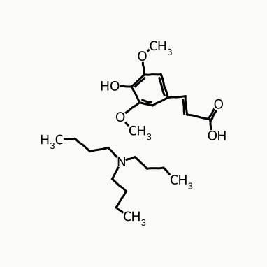 CCCCN(CCCC)CCCC.COc1cc(C=CC(=O)O)cc(OC)c1O